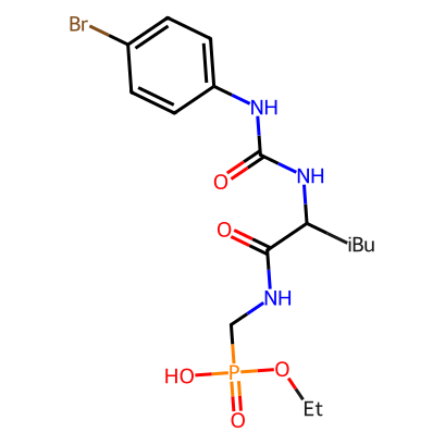 CCOP(=O)(O)CNC(=O)C(NC(=O)Nc1ccc(Br)cc1)C(C)CC